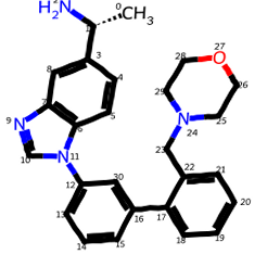 C[C@@H](N)c1ccc2c(c1)ncn2-c1cccc(-c2ccccc2CN2CCOCC2)c1